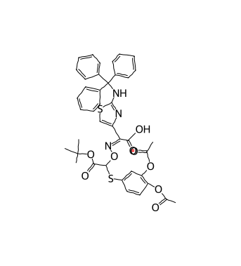 CC(=O)Oc1ccc(SC(O/N=C(\C(=O)O)c2csc(NC(c3ccccc3)(c3ccccc3)c3ccccc3)n2)C(=O)OC(C)(C)C)cc1OC(C)=O